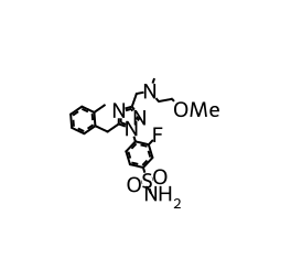 COCCN(C)Cc1nc(Cc2ccccc2C)n(-c2ccc(S(N)(=O)=O)cc2F)n1